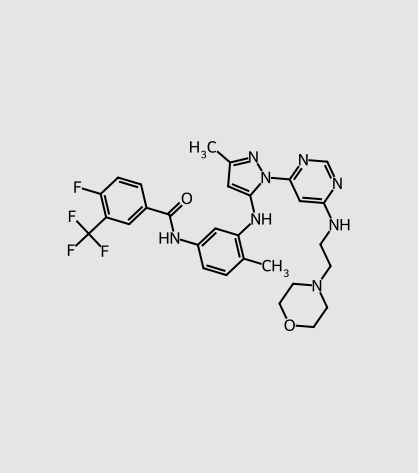 Cc1cc(Nc2cc(NC(=O)c3ccc(F)c(C(F)(F)F)c3)ccc2C)n(-c2cc(NCCN3CCOCC3)ncn2)n1